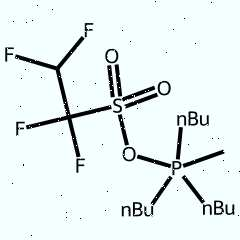 CCCCP(C)(CCCC)(CCCC)OS(=O)(=O)C(F)(F)C(F)F